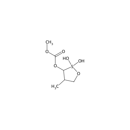 COC(=O)OC1C(C)COS1(O)O